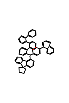 c1ccc(-c2ccccc2-c2ccccc2-c2ccccc2N(c2ccc(-c3cccc4ccccc34)cc2)c2cccc3c2-c2ccccc2C32CCCC2)cc1